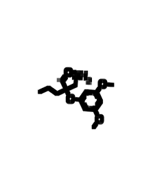 CCCC([C]=O)(CN)Oc1cc(OC)cc(OC)c1